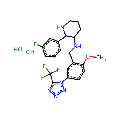 COc1ccc(-n2nnnc2C(F)(F)F)cc1CNC1CCCNC1c1cccc(F)c1.Cl.Cl